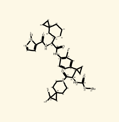 CCn1nccc1C(=O)N[C@H](C(=O)Nc1ccc(C2([C@@H](NC(=O)OC(C)(C)C)C(=O)N3CCC4(CC3)CC4(F)F)CC2)cc1F)[C@H]1CCCC2(CC2)C1